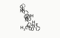 Cn1cc(-c2nnc(Nc3ccc4c(cnn4C4CCCCO4)c3Cl)o2)cc(NC(=O)c2ccccc2F)c1=O